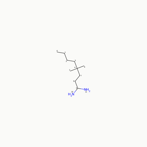 CCCCC(C)(C)CCC(N)N